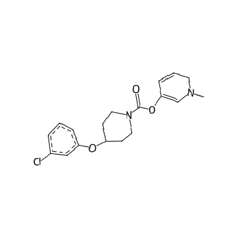 CN1C=C(OC(=O)N2CCC(Oc3cccc(Cl)c3)CC2)C=CC1